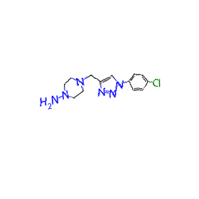 NN1CCN(Cc2cn(-c3ccc(Cl)cc3)nn2)CC1